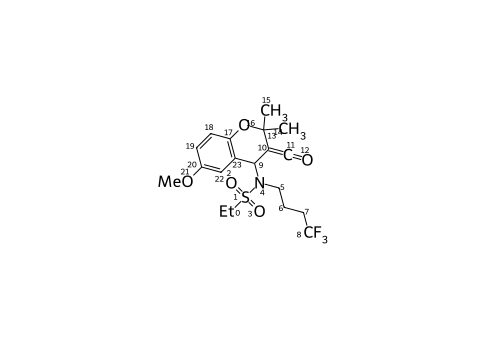 CCS(=O)(=O)N(CCCC(F)(F)F)C1C(=C=O)C(C)(C)Oc2ccc(OC)cc21